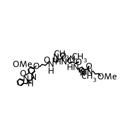 COCCCNC(=O)c1cc(NC(=O)c2cc(NC(=O)c3cc(NC(=O)CCCOc4cc5c(cc4OC)C(=O)N4c6ccccc6C[C@H]4C=N5)cn3C)cn2C)cn1C